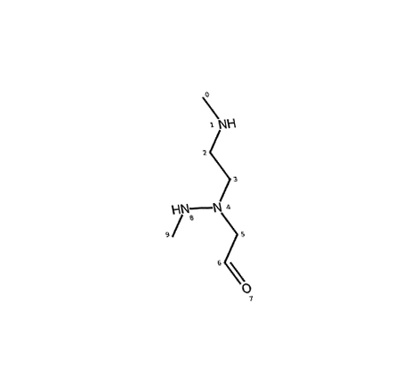 CNCCN(CC=O)NC